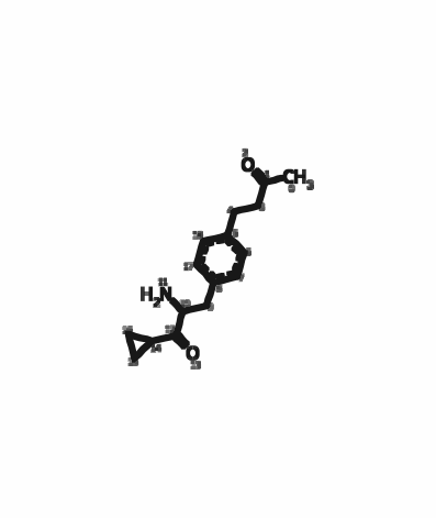 CC(=O)CCc1ccc(CC(N)C(=O)C2CC2)cc1